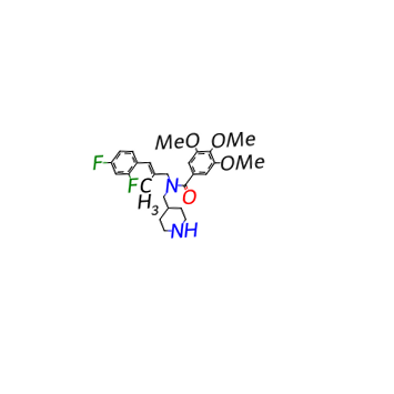 COc1cc(C(=O)N(C/C(C)=C/c2ccc(F)cc2F)CC2CCNCC2)cc(OC)c1OC